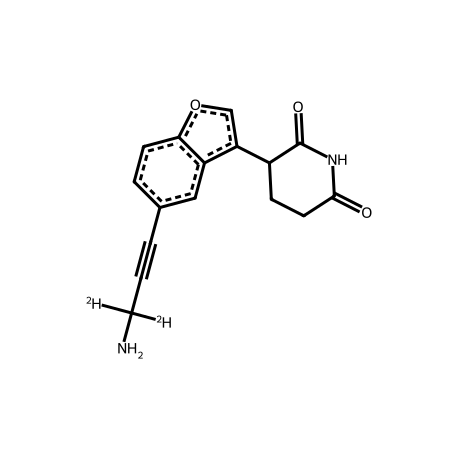 [2H]C([2H])(N)C#Cc1ccc2occ(C3CCC(=O)NC3=O)c2c1